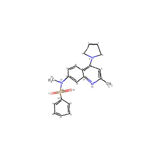 Cc1cc(N2CCCC2)c2ccc(N(C)S(=O)(=O)c3ccccc3)cc2n1